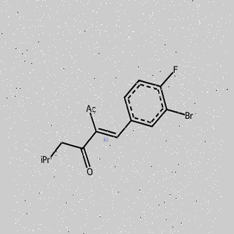 CC(=O)/C(=C\c1ccc(F)c(Br)c1)C(=O)CC(C)C